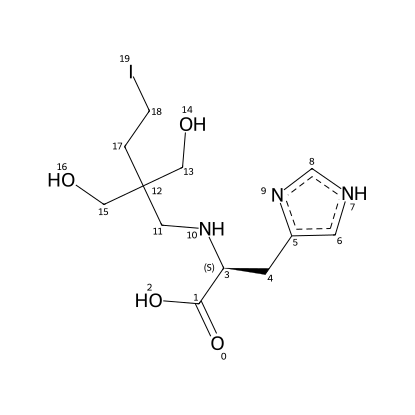 O=C(O)[C@H](Cc1c[nH]cn1)NCC(CO)(CO)CCI